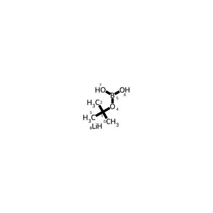 CC(C)(C)OB(O)O.[LiH]